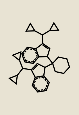 C1=C(C(C2CC2)C2CC2)c2ccccc2C1C1(C2C=C(C(C3CC3)C3CC3)c3ccccc32)CCCCC1